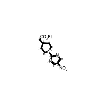 CCOC(=O)CC1CCN(c2ncc([N+](=O)[O-])cn2)CC1